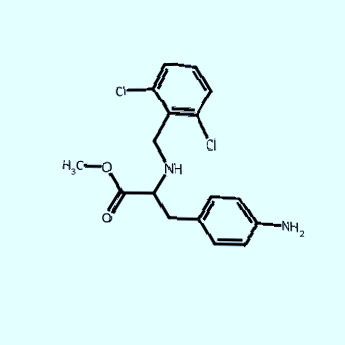 COC(=O)C(Cc1ccc(N)cc1)NCc1c(Cl)cccc1Cl